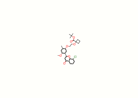 COc1cc(C)c(OCCOC2(C(=O)OC(C)(C)C)CCC2)cc1-c1cc(=O)c2cccc(Cl)c2o1